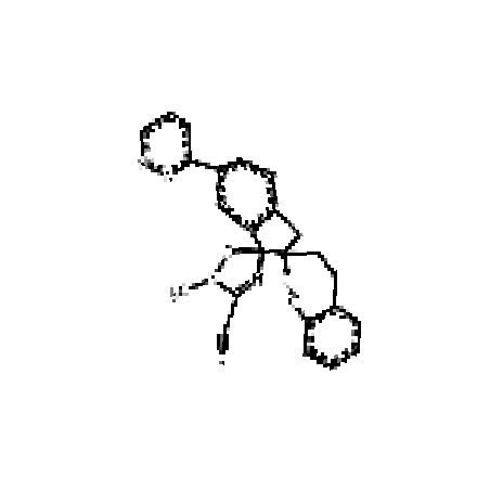 C#CC1=NC2(ON1C)c1cc(-c3cccnn3)ccc1CC21CCc2ccccc2CC1